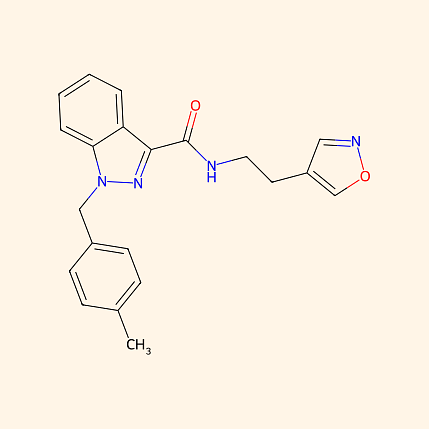 Cc1ccc(Cn2nc(C(=O)NCCc3cnoc3)c3ccccc32)cc1